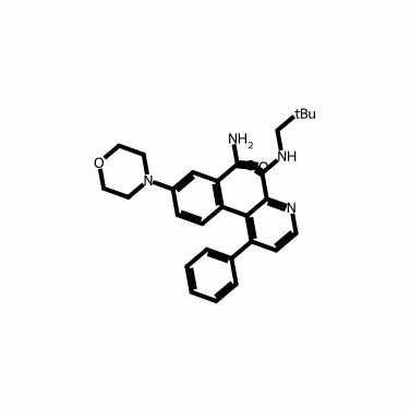 CC(C)(C)CNC(=O)c1nccc(-c2ccccc2)c1-c1ccc(N2CCOCC2)cc1C(N)=O